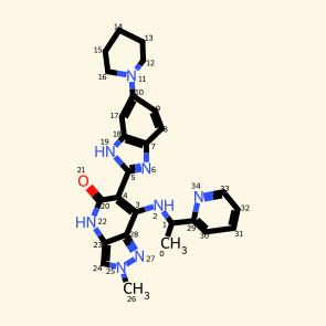 CC(Nc1c(-c2nc3ccc(N4CCCCC4)cc3[nH]2)c(=O)[nH]c2cn(C)nc12)c1ccccn1